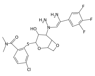 CN(C)C(=O)c1ccc(Cl)cc1SC1OC2COC2C(N(N)/C=C(\N)c2cc(F)c(F)c(F)c2)C1O